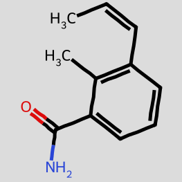 C/C=C\c1cccc(C(N)=O)c1C